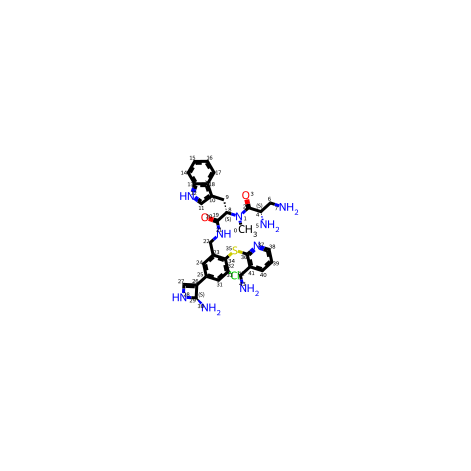 CN(C(=O)[C@@H](N)CN)[C@@H](Cc1c[nH]c2ccccc12)C(=O)NCc1cc(C2=CN[C@@H]2N)cc(Cl)c1Sc1ncccc1CN